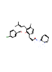 CC(C)=CCc1c(C)ccc(/C=C\C(=O)Nc2ccccc2N)c1OCc1ccc(Cl)cc1